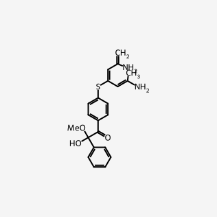 C=C(N)/C=C(\C=C(/C)N)Sc1ccc(C(=O)C(O)(OC)c2ccccc2)cc1